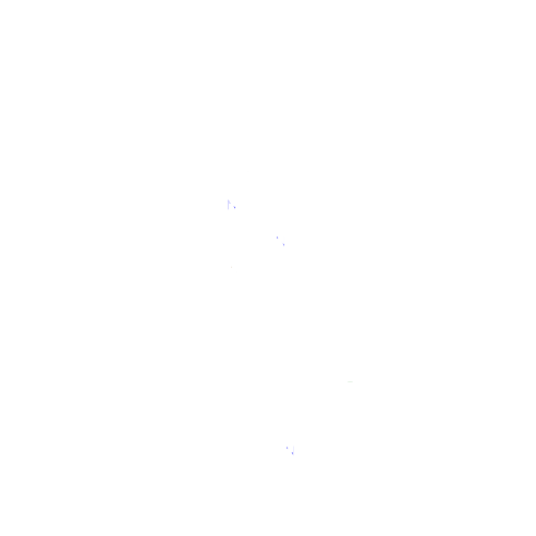 Fc1cnccc1-c1ccc2nc(NCc3ccccc3)sc2c1